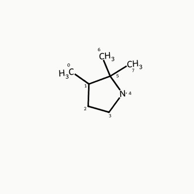 CC1CC[N]C1(C)C